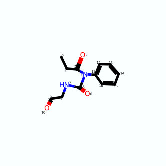 CCC(=O)N(C(=O)NC[C]=O)c1ccccc1